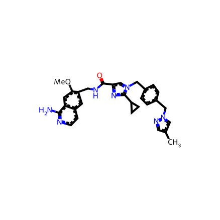 COc1cc2c(N)nccc2cc1CNC(=O)c1cn(Cc2ccc(Cn3cc(C)cn3)cc2)c(C2CC2)n1